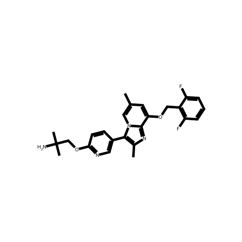 Cc1cc(OCc2c(F)cccc2F)c2nc(C)c(-c3ccc(OCC(C)(C)N)nc3)n2c1